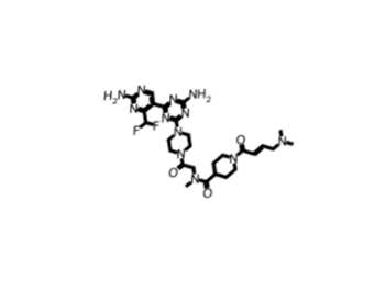 CN(C)C/C=C/C(=O)N1CCC(C(=O)N(C)CC(=O)N2CCN(c3nc(N)nc(-c4cnc(N)nc4C(F)F)n3)CC2)CC1